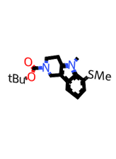 CSc1cccc2c3c(n(C)c12)CCN(C(=O)OC(C)(C)C)C3